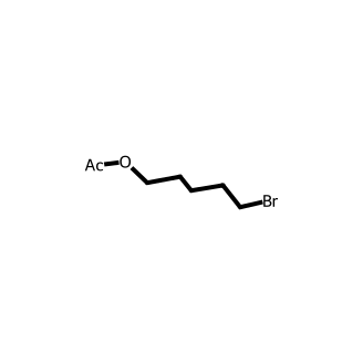 CC(=O)OCCCCCBr